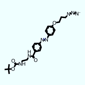 CC(C)(C)OC(=O)NCCNC(=O)c1ccc(/N=N/c2ccc(OCCCN=[N+]=[N-])cc2)cc1